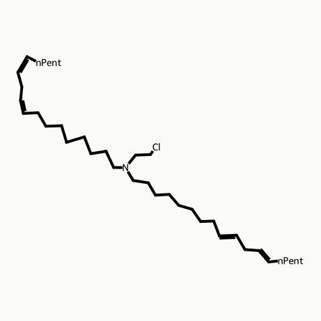 CCCCCC=CCC=CCCCCCCCCN(CCCl)CCCCCCCC/C=C\C/C=C\CCCCC